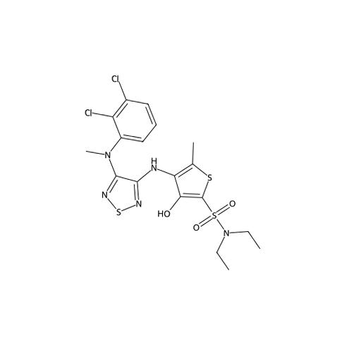 CCN(CC)S(=O)(=O)c1sc(C)c(Nc2nsnc2N(C)c2cccc(Cl)c2Cl)c1O